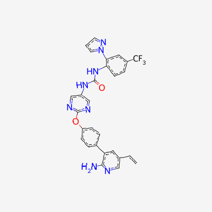 C=Cc1cnc(N)c(-c2ccc(Oc3ncc(NC(=O)Nc4ccc(C(F)(F)F)cc4-n4cccn4)cn3)cc2)c1